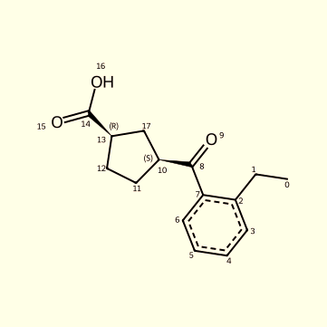 CCc1ccccc1C(=O)[C@H]1CC[C@@H](C(=O)O)C1